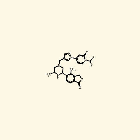 Cc1c([C@@H]2CN(Cc3cnn(-c4ccn(C(F)F)c(=O)c4)c3)C[C@H](C)N2)ccc2c1COC2=O